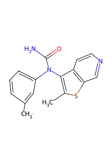 [CH2]c1cccc(N(C(N)=O)c2c(C)sc3cnccc23)c1